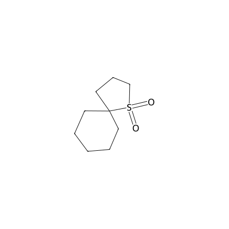 O=S1(=O)CCCC12CCCCC2